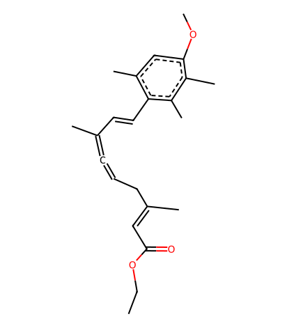 CCOC(=O)C=C(C)CC=C=C(C)C=Cc1c(C)cc(OC)c(C)c1C